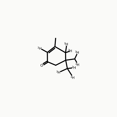 [2H]C1=C(C)C([2H])([2H])C(C([2H])[2H])(C([2H])([2H])[2H])CC1=O